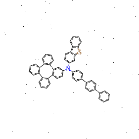 c1ccc(-c2ccc(-c3ccc(N(c4ccc5c(c4)-c4ccccc4-c4ccccc4-c4ccccc4-5)c4ccc5c(c4)sc4ccccc45)cc3)cc2)cc1